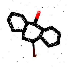 O=c1c2ccccc2cc(Br)c2ccccc12